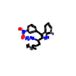 CCC(N)c1[nH]c2c(I)cccc2c1-c1cccc([N+](=O)[O-])c1